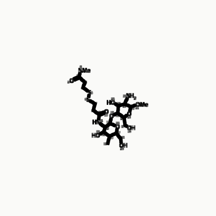 CNC(=O)CCSSCCC(=O)NC1C(OC2C(CO)OC(OC)C(N)C2O)OC(CO)C(C)C1O